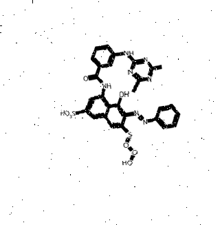 Cc1nc(C)nc(Nc2cccc(C(=O)Nc3cc(S(=O)(=O)O)cc4cc(SOOO)c(/N=N/c5ccccc5)c(O)c34)c2)n1